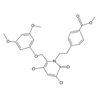 COC(=O)c1ccc(CCn2c(COc3cc(OC)cc(OC)c3)c(Cl)cc(Cl)c2=O)cc1